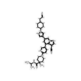 CC(C)NC(=O)C1(C)CCN(c2ccc(-c3cc(-c4cnn(C5CCC(CC=O)CC5)c4)cn4ncc(C#N)c34)cn2)CC1